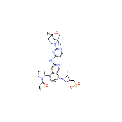 C=CC(=O)N1CCC[C@H]1c1ccc(N2C[C@H](CS(C)(=O)=O)[C@H]2C)c2cnc(Nc3ccnc(N4CC[C@H]5C[C@@H]4CO5)n3)cc12